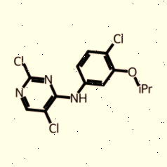 CC(C)Oc1cc(Nc2nc(Cl)ncc2Cl)ccc1Cl